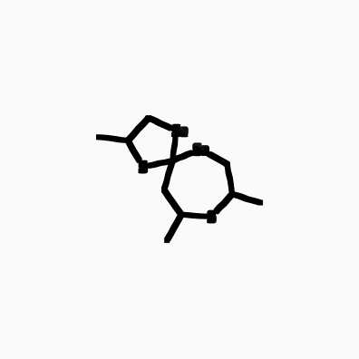 CC1C[Se]C2(CC(C)S1)SC(C)C[Se]2